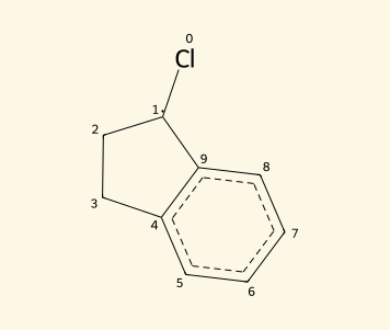 Cl[C]1CCc2ccccc21